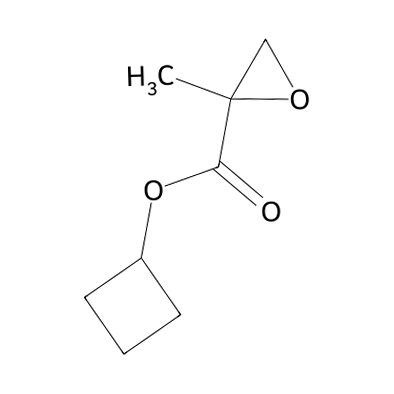 CC1(C(=O)OC2CCC2)CO1